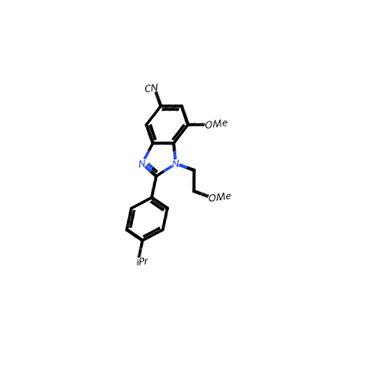 [C-]#[N+]c1cc(OC)c2c(c1)nc(-c1ccc(C(C)C)cc1)n2CCOC